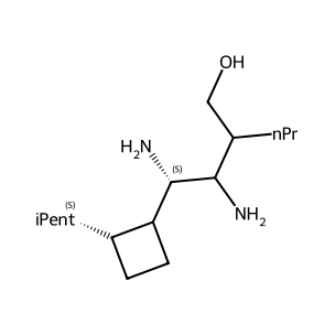 CCCC(CO)C(N)[C@@H](N)C1CCC1[C@@H](C)CCC